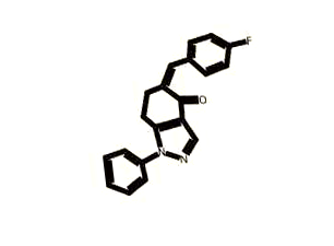 O=C1C(=Cc2ccc(F)cc2)CCc2c1cnn2-c1ccccc1